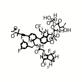 C[C@@H](O)[C@H](NC(=O)N(c1nn(CC(F)(F)F)c2c(-c3ccc(C#CC(C)(C)S(C)(=O)=O)nc3[C@H](Cc3cc(F)cc(F)c3)NC(=O)Cn3nc(C(F)(F)F)c4c3C(F)(F)[C@@H]3C[C@H]43)ccc(Cl)c12)S(C)(=O)=O)C(=O)OP(=O)(O)O